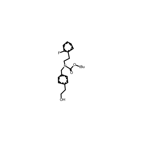 CC(C)(C)OC(=O)N(CCc1ccccc1F)Cc1ccc(CCO)cc1